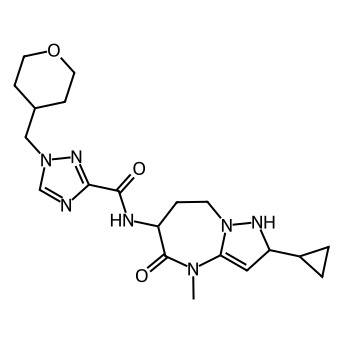 CN1C(=O)C(NC(=O)c2ncn(CC3CCOCC3)n2)CCN2NC(C3CC3)C=C21